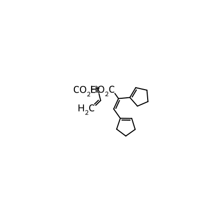 C=CC(=O)OCC.O=C(O)C(=CC1=CCCC1)C1=CCCC1